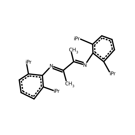 CC(=N\c1c(C(C)C)cccc1C(C)C)/C(C)=N/c1c(C(C)C)cccc1C(C)C